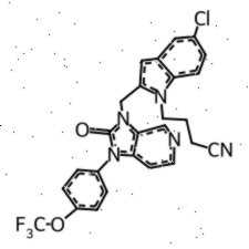 N#CCCCn1c(Cn2c(=O)n(-c3ccc(OC(F)(F)F)cc3)c3ccncc32)cc2cc(Cl)ccc21